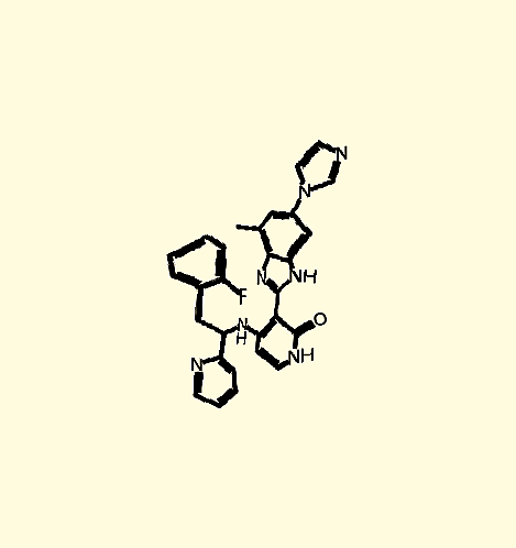 Cc1cc(-n2ccnc2)cc2[nH]c(-c3c(NC(Cc4ccccc4F)c4ccccn4)cc[nH]c3=O)nc12